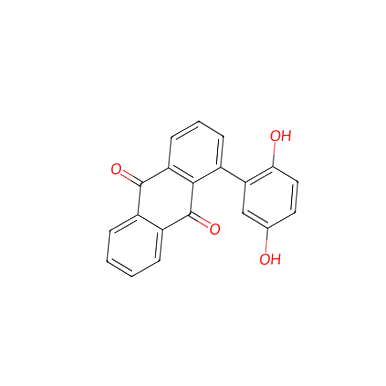 O=C1c2ccccc2C(=O)c2c1cccc2-c1cc(O)ccc1O